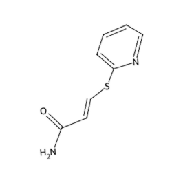 NC(=O)C=CSc1ccccn1